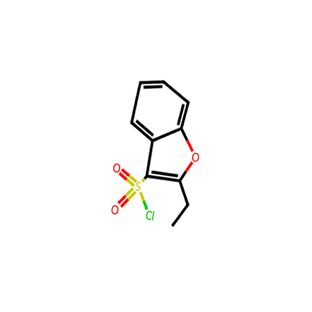 CCc1oc2ccccc2c1S(=O)(=O)Cl